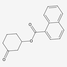 O=C1CCCC(OC(=O)c2cccc3ccccc23)C1